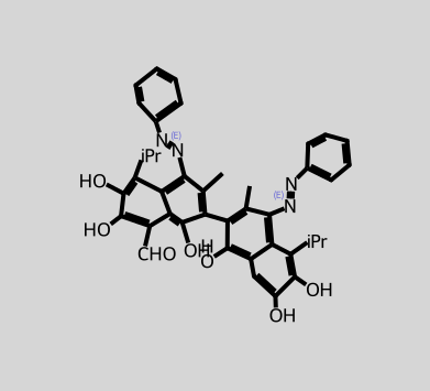 Cc1c(-c2c(C)c(/N=N/c3ccccc3)c3c(C(C)C)c(O)c(O)c(C=O)c3c2O)c(O)c2cc(O)c(O)c(C(C)C)c2c1/N=N/c1ccccc1